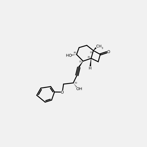 C[C@]12CC[C@@H](O)[C@H](C#C[C@H](O)COc3ccccc3)[C@H]1CC2=O